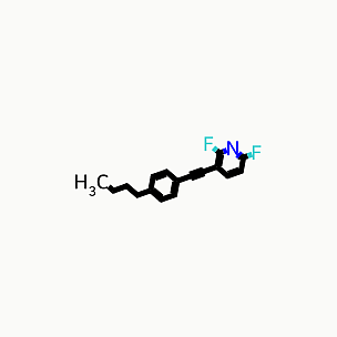 CCCCc1ccc(C#Cc2ccc(F)nc2F)cc1